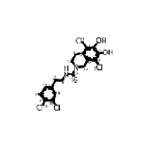 Oc1c(O)c(Cl)c2c(c1Cl)CCN(C(=S)NCCc1ccc(Cl)c(Cl)c1)C2